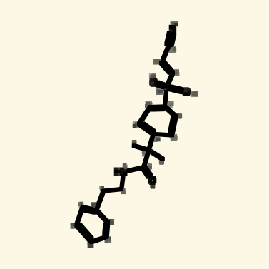 CC(C)(C(=O)NCCc1ccccc1)c1ccc(S(=O)(=O)C=CC#N)cc1